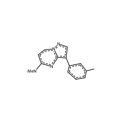 CNc1ccn2ncc(-c3cccc(C)c3)c2n1